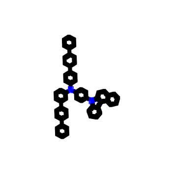 C1=CC(c2ccc(N(c3ccc(-n4c5ccccc5c5c6ccccc6ccc54)cc3)c3cccc(-c4ccc(-c5ccccc5)cc4)c3)cc2)CC=C1c1ccccc1